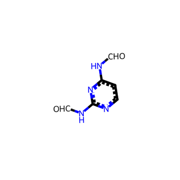 O=CNc1ccnc(NC=O)n1